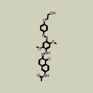 COc1cc(N/N=C2/C=Cc3cc(NC(C)=O)ccc3C2=O)c(OC)cc1/N=N/c1ccc(OCCO)cc1